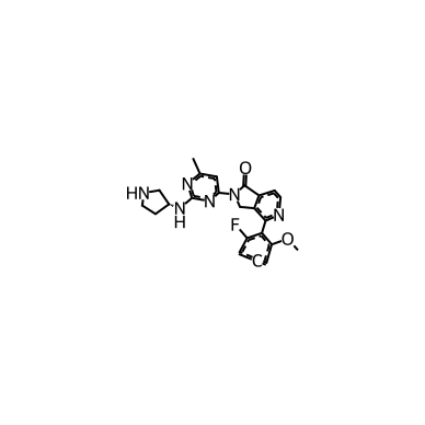 COc1cccc(F)c1-c1nccc2c1CN(c1cc(C)nc(N[C@@H]3CCNC3)n1)C2=O